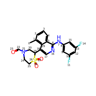 Cc1cccc2c(Nc3cc(F)cc(F)c3)ncc(C3CN(C=O)CCS3(=O)=O)c12